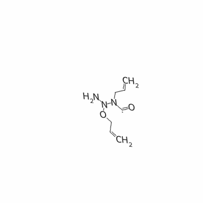 C=CCON(N)N([C]=O)CC=C